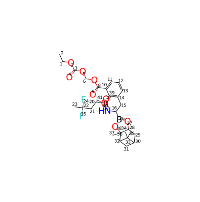 CCOC(=O)OCOC(=O)c1cccc(CC(NC(=O)CCC(C)(F)F)B2OC3CC4CC(C4(C)C)C3(C)O2)c1OC